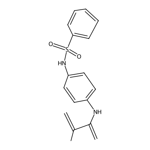 C=C(C)C(=C)Nc1ccc(NS(=O)(=O)c2ccccc2)cc1